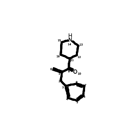 C=C(Cc1ccccc1)C(=O)C1CCNCC1